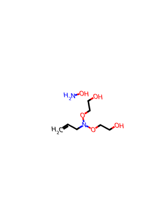 C=CCN(OCCO)OCCO.NO